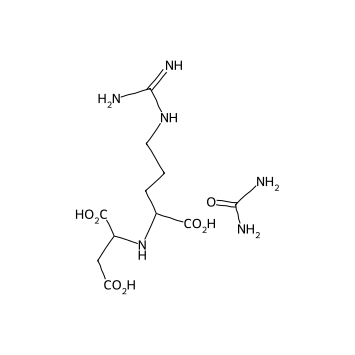 N=C(N)NCCCC(NC(CC(=O)O)C(=O)O)C(=O)O.NC(N)=O